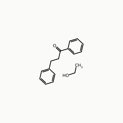 CCO.O=C(CCc1ccccc1)c1ccccc1